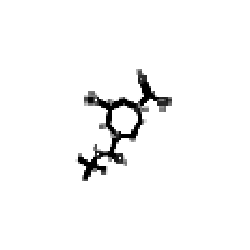 CC(C)(C)OC(=O)N1CCN(C(=O)O)CC(O)C1